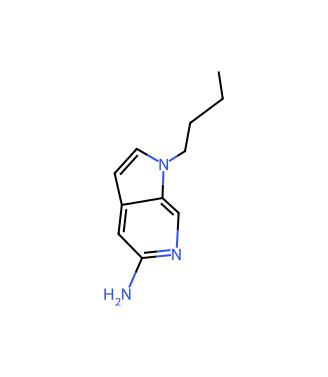 CCCCn1ccc2cc(N)ncc21